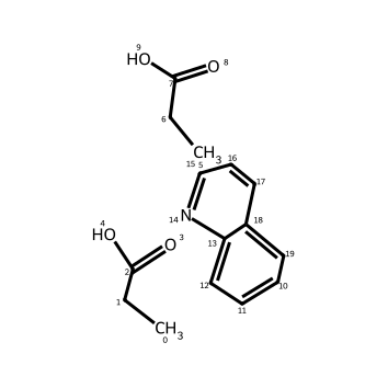 CCC(=O)O.CCC(=O)O.c1ccc2ncccc2c1